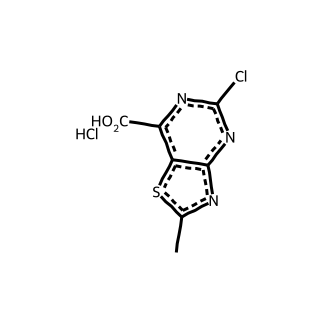 Cc1nc2nc(Cl)nc(C(=O)O)c2s1.Cl